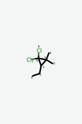 C[CH]C1C(C)(C)C1(Cl)Cl